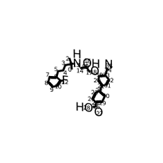 CC(C)(CCCc1ccccc1F)NC[C@H](O)COc1cc(-c2ccc(C(=O)O)cc2)ccc1C#N